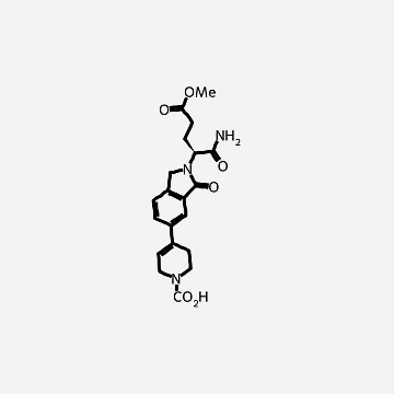 COC(=O)CC[C@@H](C(N)=O)N1Cc2ccc(C3=CCN(C(=O)O)CC3)cc2C1=O